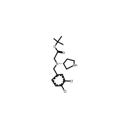 CC(C)(C)OC(=O)CN(Cc1ccc(Cl)c(Cl)c1)[C@@H]1CCNC1